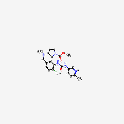 COC(=O)N1CC[C@@H](N(C)Cc2ccc(F)c(NC(=O)Nc3ccc(C)nc3)c2)C1